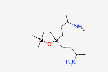 CC(N)CC[Si](C)(CCC(C)N)O[Si](C)(C)C